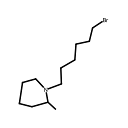 CC1CCCCN1CCCCCCBr